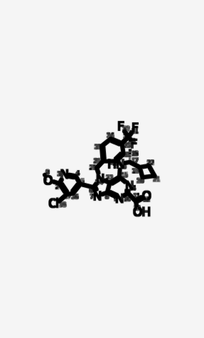 COc1ncc(-c2nc3nc(C(=O)O)nc(N[C@H](C)C4CCC4)c3n2Cc2ccc(C(F)(F)F)cc2)cc1Cl